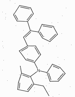 CCc1cccc(C)c1N(c1ccccc1)c1ccc(C=C(c2ccccc2)c2ccccc2)cc1